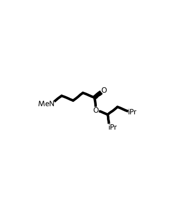 CNCCCC(=O)OC(CC(C)C)C(C)C